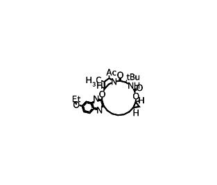 CCOc1ccc2nc3c(nc2c1)O[C@H]1CN(C(=O)[C@H](C(C)(C)C)NC(=O)O[C@@H]2C[C@H]2CCCCC3)[C@H](C(C)=O)[C@@H]1C